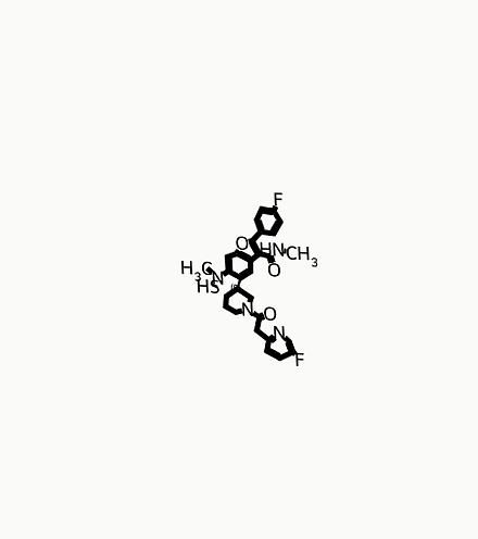 CNC(=O)c1c(-c2ccc(F)cc2)oc2cc(N(C)S)c([C@@H]3CCCN(C(=O)Cc4ccc(F)cn4)C3)cc12